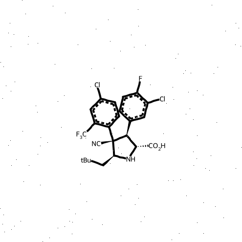 CC(C)(C)C[C@@H]1N[C@@H](C(=O)O)[C@H](c2ccc(F)c(Cl)c2)[C@@]1(C#N)c1ccc(Cl)cc1C(F)(F)F